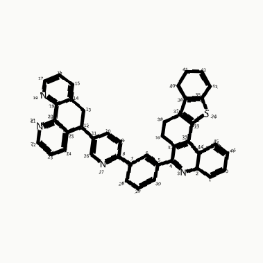 C1=CC2N=C(C3=CC(c4ccc(C5Cc6cccnc6-c6ncccc65)cn4)CC=C3)C3=C(c4sc5c(c4CC3)CCC=C5)C2C=C1